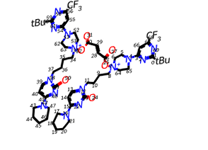 CC(C)(C)c1nc(N2CC[N+](CCCCn3ccc(N4CCCCC4)nc3=O)(OC(=O)/C=C/C(=O)O[N+]3(CCCCn4ccc(N5CCCCC5)nc4=O)CCN(c4cc(C(F)(F)F)nc(C(C)(C)C)n4)CC3)CC2)cc(C(F)(F)F)n1